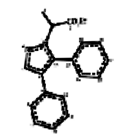 CCOC(=O)C(C)n1ncc(-c2ccccc2)c1-c1ccccc1